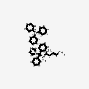 CC=CCC(C)[SiH2]C(c1ccccc1)(c1ccccc1)n1ccnc1.c1ccc(B(c2ccccc2)c2ccccc2)cc1